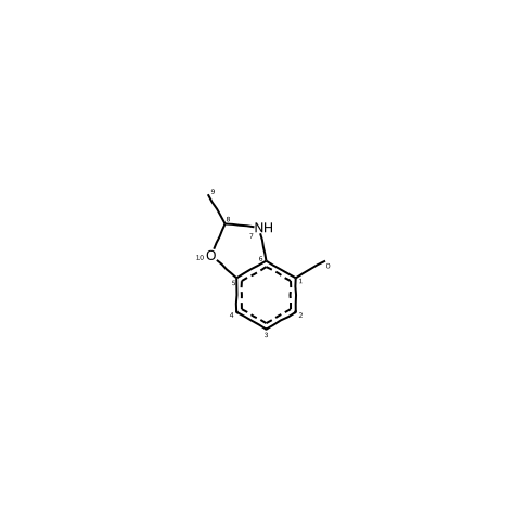 Cc1cccc2c1NC(C)O2